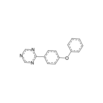 c1ccc(Oc2ccc(-c3ncncn3)cc2)cc1